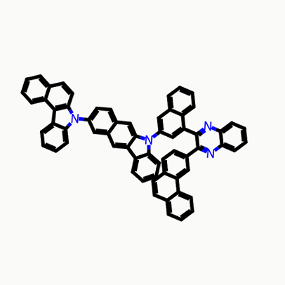 c1ccc2c(-c3nc4ccccc4nc3-c3ccc4ccc5ccccc5c4c3)cc(-n3c4ccccc4c4cc5cc(-n6c7ccccc7c7c8ccccc8ccc76)ccc5cc43)cc2c1